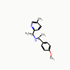 COc1ccc([C@H](C)N[C@@H](C)c2ccc(C)cn2)cc1